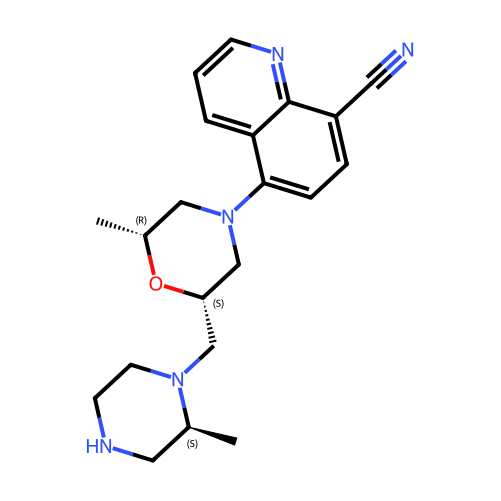 C[C@@H]1CN(c2ccc(C#N)c3ncccc23)C[C@H](CN2CCNC[C@@H]2C)O1